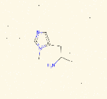 CC(N)Cc1cncn1C